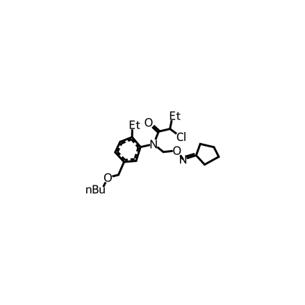 CCCCOCc1ccc(CC)c(N(CON=C2CCCC2)C(=O)C(Cl)CC)c1